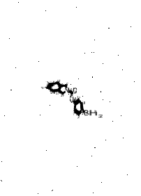 Bc1ccc(OC(=O)N2Cc3ccccc3C2)cc1